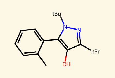 CCCc1nn(C(C)(C)C)c(-c2ccccc2C)c1O